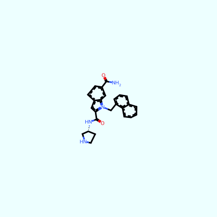 NC(=O)c1ccc2cc(C(=O)N[C@@H]3CCNC3)n(Cc3cccc4ccccc34)c2c1